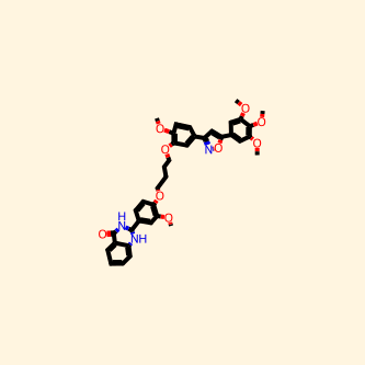 COc1cc(C2NC(=O)c3ccccc3N2)ccc1OCCCCOc1cc(-c2cc(-c3cc(OC)c(OC)c(OC)c3)on2)ccc1OC